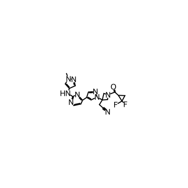 Cn1cc(Nc2nccc(-c3cnn(C4(CC#N)CN(C(=O)C5CC5(F)F)C4)c3)n2)cn1